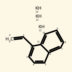 C=Cc1cccc2ccccc12.[KH].[KH].[KH]